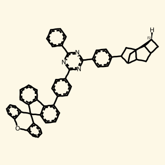 c1ccc(-c2nc(-c3ccc(-c4cccc5c4-c4ccccc4C54c5ccccc5Oc5ccccc54)cc3)nc(-c3ccc(C4CC5C6CC7C[C@@H](CC46)C75)cc3)n2)cc1